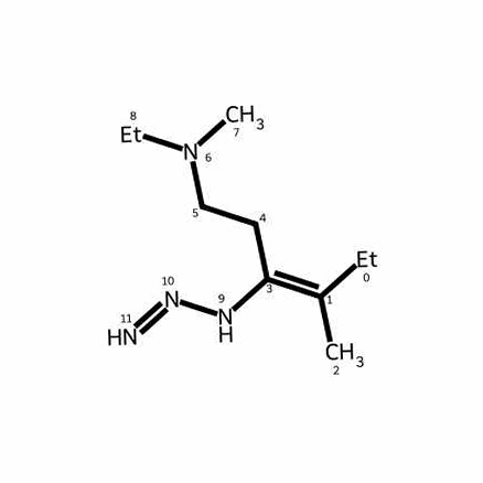 CC/C(C)=C(\CCN(C)CC)NN=N